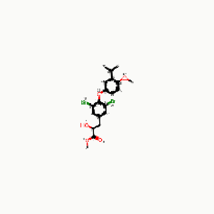 COC(=O)C(O)Cc1cc(Br)c(Oc2ccc(OC)c(C(C)C)c2)c(Br)c1